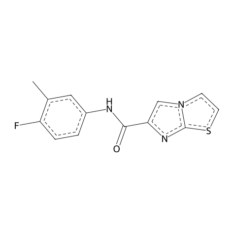 Cc1cc(NC(=O)c2cn3ccsc3n2)ccc1F